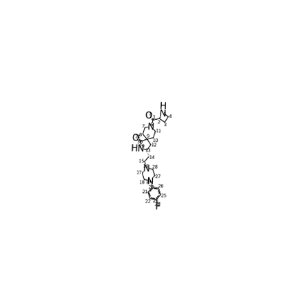 O=C(C1CCN1)N1CCC2(CC1)C[C@H](CCN1CCN(c3ccc(F)cc3)CC1)NC2=O